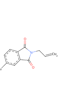 C=CCN1C(=O)c2ccc(C(C)(C)C)cc2C1=O